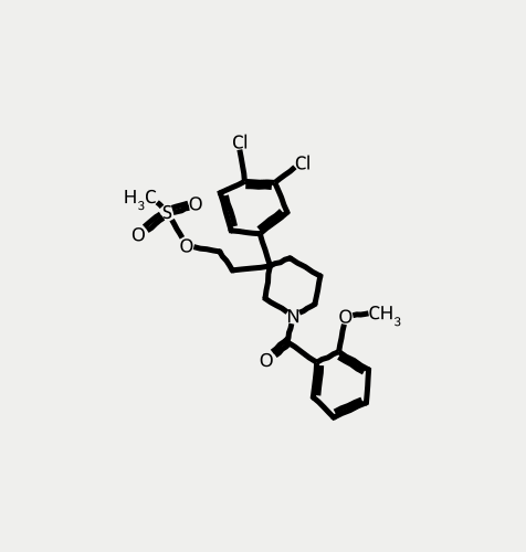 COc1ccccc1C(=O)N1CCCC(CCOS(C)(=O)=O)(c2ccc(Cl)c(Cl)c2)C1